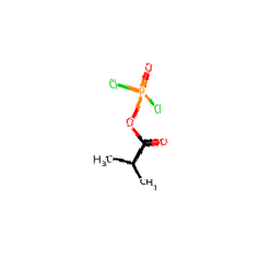 CC(C)C(=O)OP(=O)(Cl)Cl